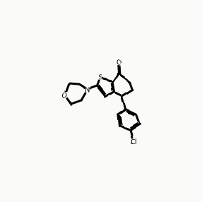 O=C1CCC(c2ccc(Cl)cc2)c2cc(N3CCOCC3)sc21